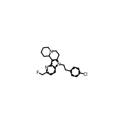 FCc1ccc2c(n1)c1c(n2CCc2ccc(Cl)cc2)CCN2CCCCC12